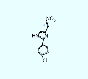 O=[N+]([O-])/C=C/c1c[nH]c(-c2ccc(Cl)cc2)n1